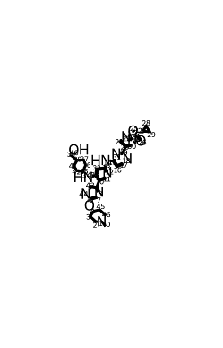 CN1CCC(Oc2cnc(-c3cnc(Nc4ccnc(-c5cnn(S(=O)(=O)C6CC6)c5)n4)cc3NC3CCC(CO)CC3)cn2)CC1